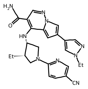 CC[C@H]1CN(c2ccc(C#N)cn2)C[C@H]1Nc1c(C(N)=O)cnn2cc(-c3cnn(CC)c3)cc12